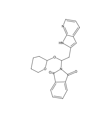 O=C1c2ccccc2C(=O)N1C(Cc1cc2cccnc2[nH]1)OC1CCCCO1